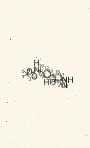 CC(C)(C)OC(=O)NC(C)(C)c1ccc(-c2ccc3[nH]ncc3c2O)cc1